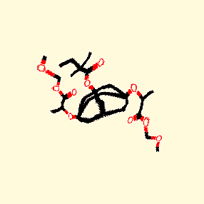 CCC(C)(C)C(=O)OC12CC3CC(OC(C)C(=O)OCOC)(C1)CC(OC(C)C(=O)OCOC)(C3)C2